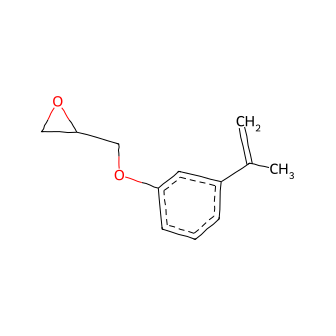 C=C(C)c1cccc(OCC2CO2)c1